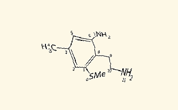 CSc1cc(C)cc(N)c1CCN